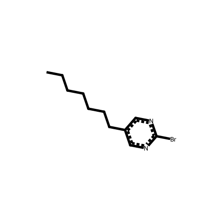 CCCCCCCc1cnc(Br)nc1